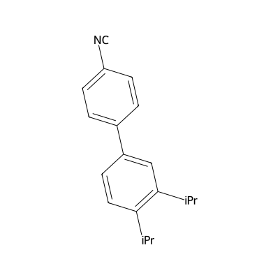 [C-]#[N+]c1ccc(-c2ccc(C(C)C)c(C(C)C)c2)cc1